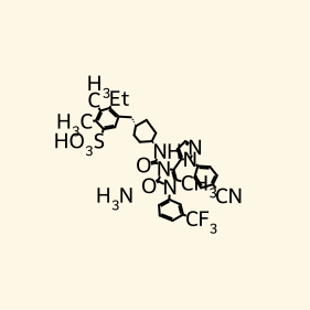 CCc1c(C[C@H]2CC[C@@H](NC(=O)n3c(-c4ccnn4-c4ccc(C#N)cc4)c(C)n(-c4cccc(C(F)(F)F)c4)c3=O)CC2)cc(S(=O)(=O)O)c(C)c1C.N